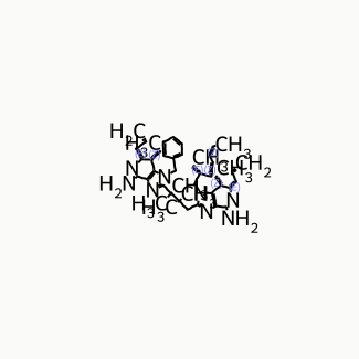 C=C/C=c1/nc(N)c2nc(CC(C)(C)C(C)(C)c3nc4c(N)nc(=C/C=C)/c(=C\C)c4n3Cc3ccccc3)n(CC(/C=C\C=C/C)=C/C)c2/c1=C/C